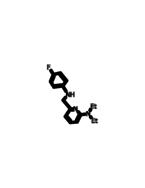 CCN(CC)c1cccc(CNc2ccc(F)cc2)n1